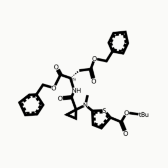 CN(c1ccc(C(=O)OC(C)(C)C)s1)C1(C(=O)N[C@@H](CC(=O)OCc2ccccc2)C(=O)OCc2ccccc2)CC1